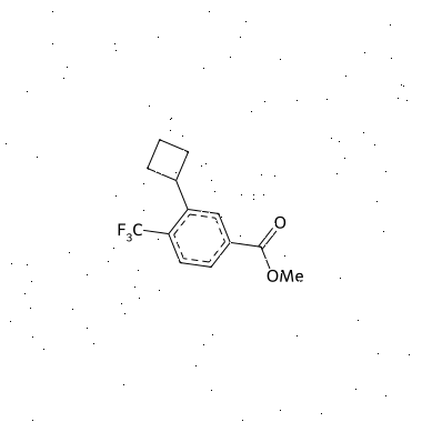 COC(=O)c1ccc(C(F)(F)F)c(C2CCC2)c1